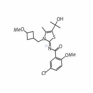 COc1ccc(Cl)cc1C(=O)/N=c1\sc(C(C)(C)O)c(C)n1CC1CC(OC)C1